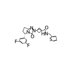 O=C(NCc1cccs1)C12CC(n3nc4n(c3=O)[C@H](c3cc(F)cc(F)c3)CC4)(C1)C2